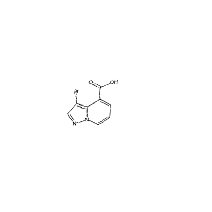 O=C(O)c1cccn2ncc(Br)c12